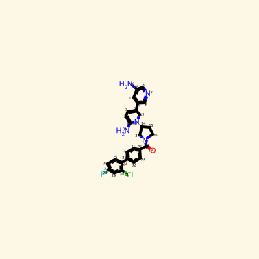 NC1=CC=C(c2cncc(N)c2)CN1[C@@H]1CCN(C(=O)c2ccc(-c3ccc(F)cc3Cl)cc2)C1